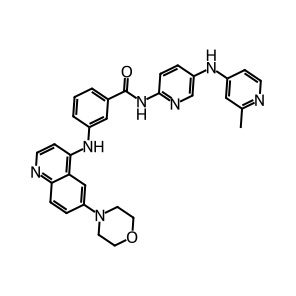 Cc1cc(Nc2ccc(NC(=O)c3cccc(Nc4ccnc5ccc(N6CCOCC6)cc45)c3)nc2)ccn1